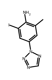 Cc1cc(-n2ncnn2)cc(I)c1N